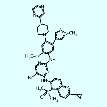 COc1cc(N2CCN(c3cnccn3)CC2)c(-c2cnn(C)c2)cc1Nc1ncc(Br)c(Nc2ccc3nc(C4CC4)ccc3c2P(C)(C)=O)n1